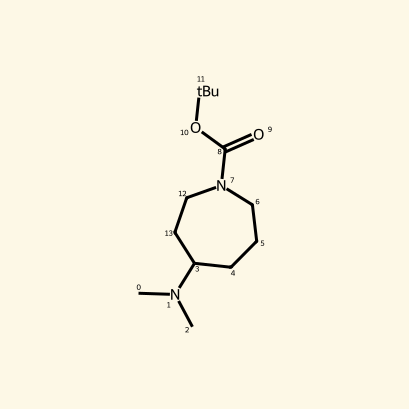 CN(C)C1CCCN(C(=O)OC(C)(C)C)CC1